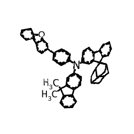 CC1(C)c2ccccc2-c2ccc(N(c3ccc(-c4ccc5c(c4)oc4ccccc45)cc3)c3ccc4c(c3)C3(c5ccccc5-4)C4CC5CC(C4)CC3C5)cc21